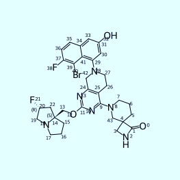 O=C1NCC12CCCN(c1nc(OC[C@@]34CCCN3C[C@H](F)C4)nc3c1CCN(c1cc(O)cc4ccc(F)c(Br)c14)C3)C2